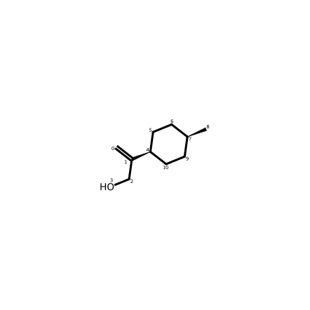 C=C(CO)[C@H]1CC[C@@H](C)CC1